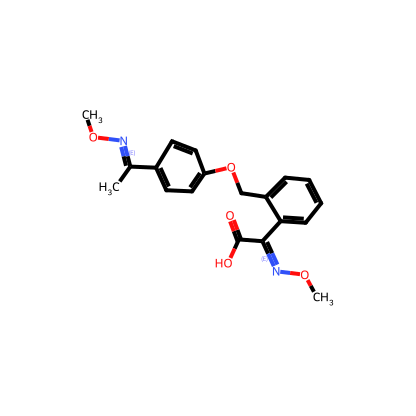 CO/N=C(\C)c1ccc(OCc2ccccc2/C(=N\OC)C(=O)O)cc1